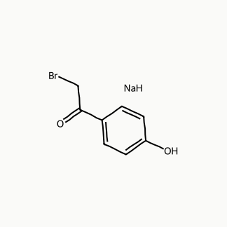 O=C(CBr)c1ccc(O)cc1.[NaH]